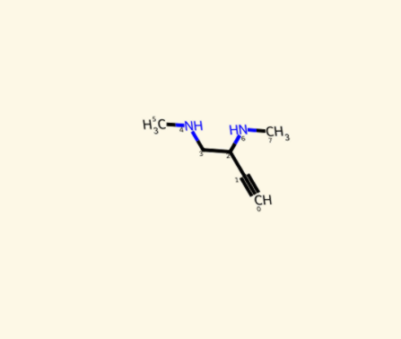 C#CC(CNC)NC